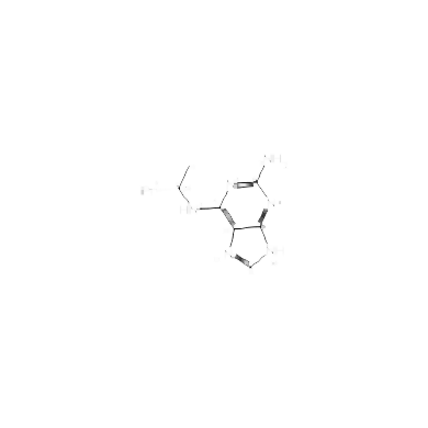 CC(C)[C@H](C)Nc1nc(N)nc2[nH]cnc12